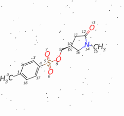 Cc1ccc(S(=O)(=O)OC[C@H]2CC(=O)N(C)C2)cc1